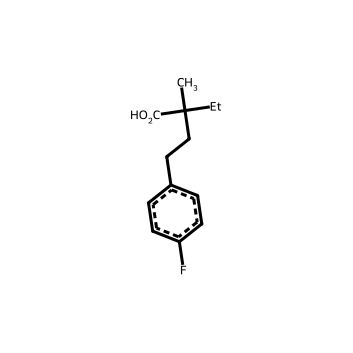 CCC(C)(CCc1ccc(F)cc1)C(=O)O